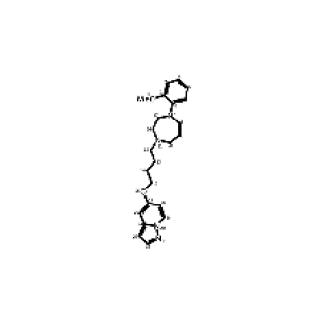 COc1ccccc1N1CCCN(CCCCOc2ccn3nccc3c2)CC1